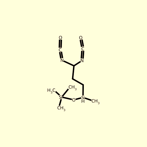 C[SiH](CCC(N=C=O)N=C=O)O[Si](C)(C)C